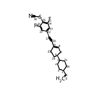 C=CC1CCC(C2CC=C(C#Cc3cc(F)c(SC#N)c(F)c3)CC2)CC1